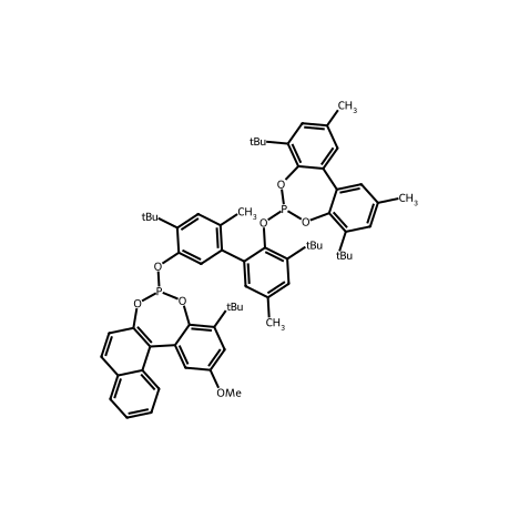 COc1cc(C(C)(C)C)c2op(Oc3cc(-c4cc(C)cc(C(C)(C)C)c4Op4oc5c(C(C)(C)C)cc(C)cc5c5cc(C)cc(C(C)(C)C)c5o4)c(C)cc3C(C)(C)C)oc3ccc4ccccc4c3c2c1